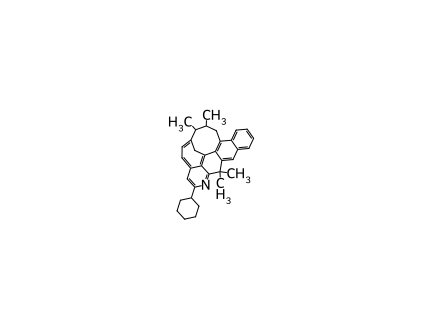 CC1Cc2c3c(cc4ccccc24)C(C)(C)c2nc(C4CCCCC4)cc4c2=C3CC(=CC=4)C1C